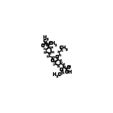 CCCCOc1cc(C=C(OCC)C(=O)O)ccc1OCCc1ccc(N(C)C(C)=O)cc1